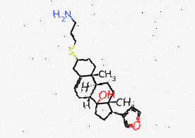 C[C@]12CC[C@H](SCCCN)CC1=CC[C@@H]1[C@@H]2CC[C@]2(C)[C@@H](c3ccoc3)CC[C@]12O